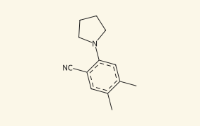 Cc1cc(C#N)c(N2CCCC2)cc1C